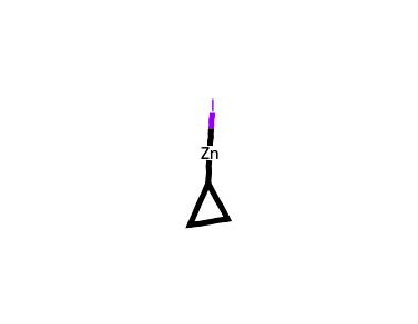 [I][Zn][CH]1CC1